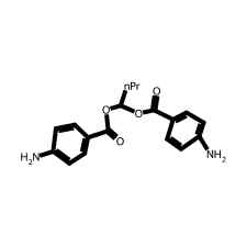 CCCC(OC(=O)c1ccc(N)cc1)OC(=O)c1ccc(N)cc1